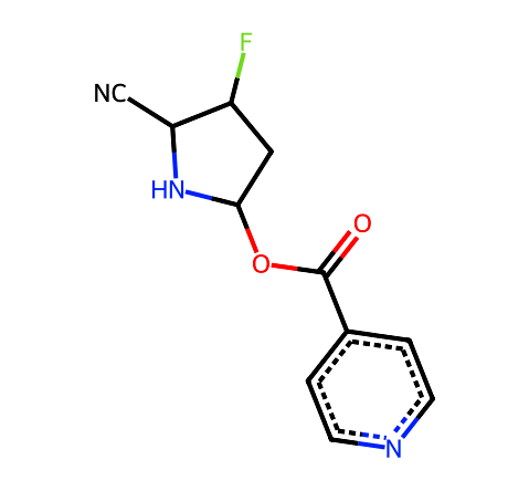 N#CC1NC(OC(=O)c2ccncc2)CC1F